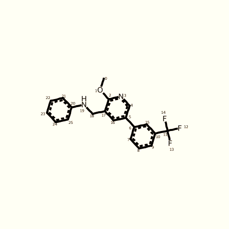 COc1ncc(-c2cccc(C(F)(F)F)c2)cc1CNc1[c]cccc1